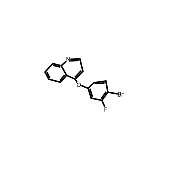 Fc1cc(Oc2ccnc3ccccc23)ccc1Br